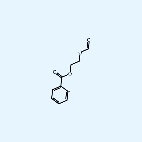 O=[C]OCCOC(=O)c1[c]cccc1